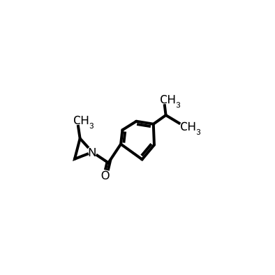 CC(C)c1ccc(C(=O)N2CC2C)cc1